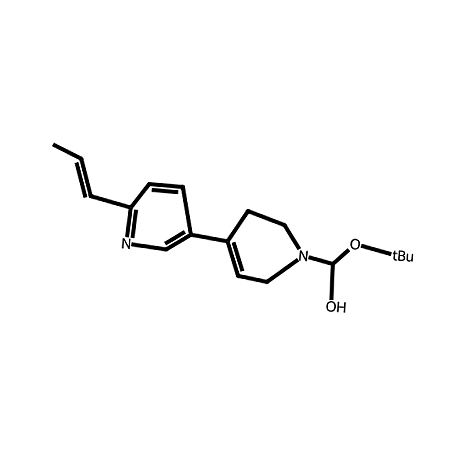 C/C=C/c1ccc(C2=CCN(C(O)OC(C)(C)C)CC2)cn1